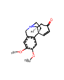 CCCCOc1cc2c(cc1OCCCC)[C@@]13C=CC(=O)C[C@@H]1N(CC3)C2